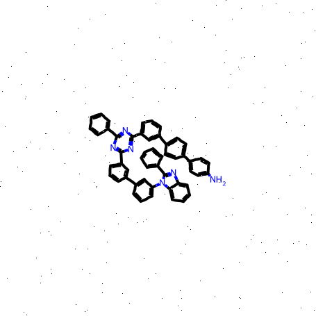 Nc1ccc(-c2ccc(-c3cccc(-c4nc(-c5ccccc5)nc(-c5cccc(-c6cccc(-n7c(-c8ccccc8)nc8ccccc87)c6)c5)n4)c3)cc2)cc1